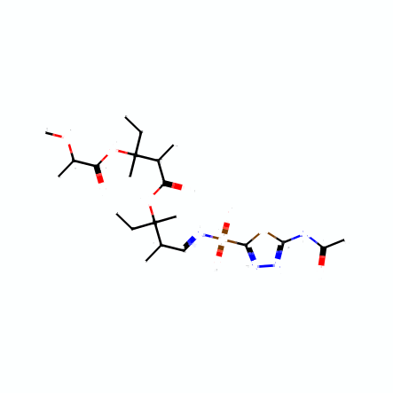 CCC(C)(OC(=O)C(C)C(C)(CC)OC(=O)C(C)OC)C(C)/C=N/S(=O)(=O)c1nnc(NC(C)=O)s1